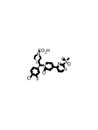 CS(=O)(=O)c1nccc(-c2ccn([C@@H](c3ccc(Cl)c(F)c3)[C@@H]3CCN(C(=O)O)C3)c(=O)c2)n1